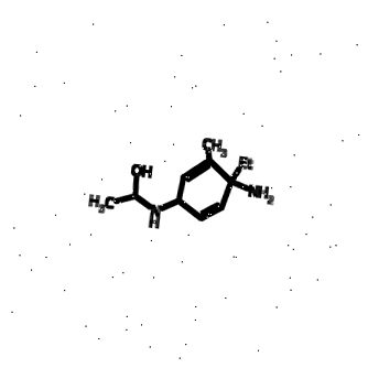 CCC1(N)C=CC(NC(C)O)C=C1C